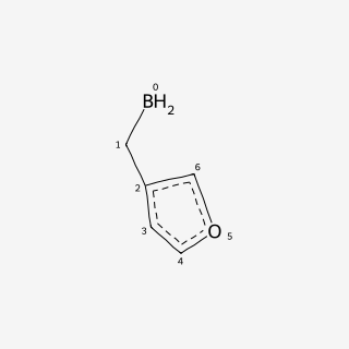 BCc1ccoc1